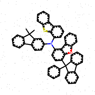 CC1(C)c2ccccc2-c2ccc(N(c3cccc4c3sc3ccccc34)c3ccc(C4(c5ccccc5)c5ccccc5-c5ccccc54)c4oc5ccccc5c34)cc21